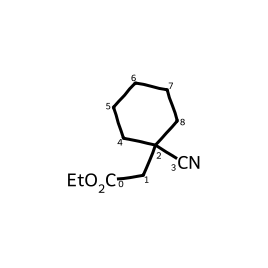 CCOC(=O)CC1(C#N)CCCCC1